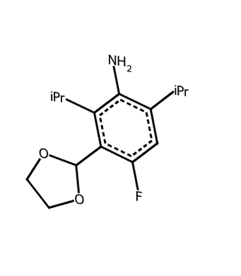 CC(C)c1cc(F)c(C2OCCO2)c(C(C)C)c1N